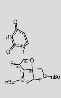 CCCCOC[C@@]1(C(F)F)O[C@@H](n2ccc(=O)[nH]c2=O)[C@H](F)[C@@H]1OCCCC